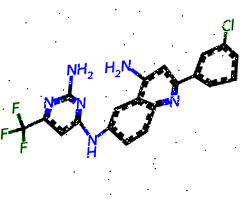 Nc1nc(Nc2ccc3nc(-c4cccc(Cl)c4)cc(N)c3c2)cc(C(F)(F)F)n1